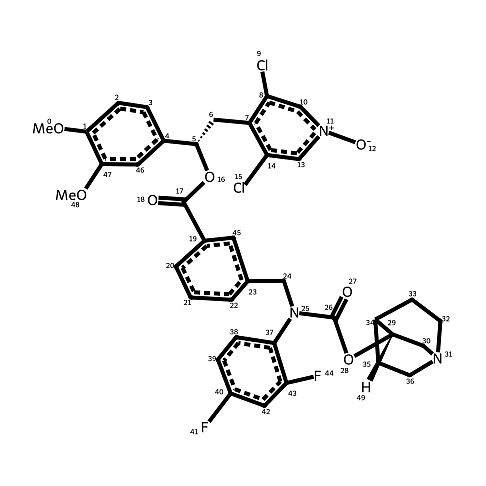 COc1ccc([C@H](Cc2c(Cl)c[n+]([O-])cc2Cl)OC(=O)c2cccc(CN(C(=O)O[C@H]3CN4CCC3CC4)c3ccc(F)cc3F)c2)cc1OC